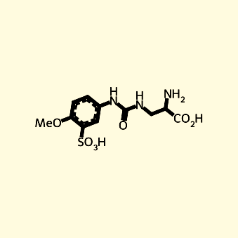 COc1ccc(NC(=O)NCC(N)C(=O)O)cc1S(=O)(=O)O